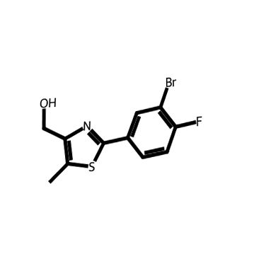 Cc1sc(-c2ccc(F)c(Br)c2)nc1CO